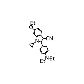 CCOc1ccc2c(c1)N(C1CC1)C(c1ccc(N(CC)CC)cc1)C2C#N